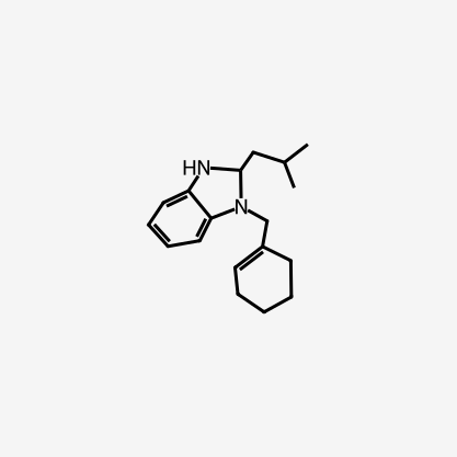 CC(C)CC1Nc2ccccc2N1CC1=CCCCC1